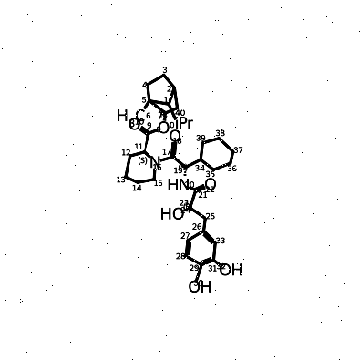 CC(C)C1C2CCC1(C)[C@H](OC(=O)[C@@H]1CCCCN1C(=O)[C@@H](NC(=O)[C@H](O)Cc1ccc(O)c(O)c1)C1CCCCC1)C2